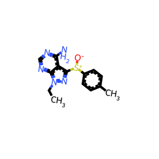 CCn1nc([S+]([O-])c2ccc(C)cc2)c2c(N)ncnc21